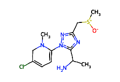 CC(N)c1nc(C[S+](C)[O-])nn1C1=CC=C(Cl)CN1C